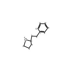 [CH](CC1CCCO1)c1ccccc1